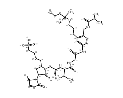 CC(C)C(=O)OCc1ccc(NC(=O)CNC(=O)C(NC(=O)CN2C(=O)C(N3C(=O)C=CC3=O)CC2COCCS(=O)(=O)O)C(C)C)cc1CCCOC(C)(C)CCO